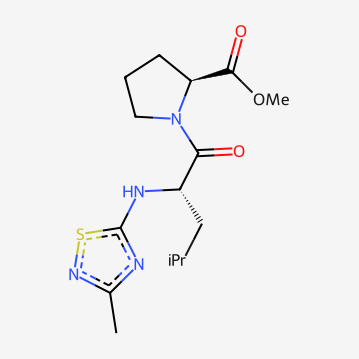 COC(=O)[C@@H]1CCCN1C(=O)[C@H](CC(C)C)Nc1nc(C)ns1